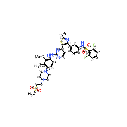 COc1c(Nc2nccc(-c3sc(C(C)C)nc3-c3cccc(NS(=O)(=O)c4c(F)cccc4F)c3)n2)ccc(N2CCN(CCS(C)(=O)=O)CC2)c1C